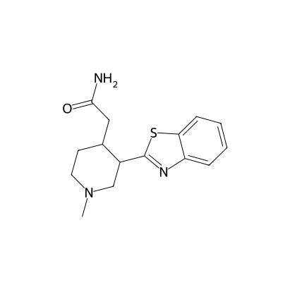 CN1CCC(CC(N)=O)C(c2nc3ccccc3s2)C1